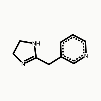 c1cncc(CC2=NCCN2)c1